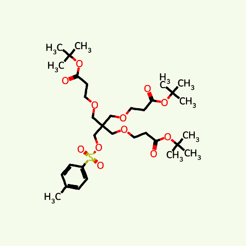 Cc1ccc(S(=O)(=O)OCC(COCCC(=O)OC(C)(C)C)(COCCC(=O)OC(C)(C)C)COCCC(=O)OC(C)(C)C)cc1